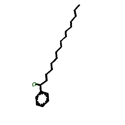 CCCCCCCCCCCCCCCC(Cl)c1ccccc1